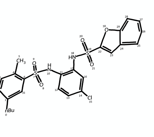 CCCCc1ccc(C)c(S(=O)(=O)Nc2ccc(Cl)cc2NS(=O)(=O)c2cc3ccccc3o2)c1